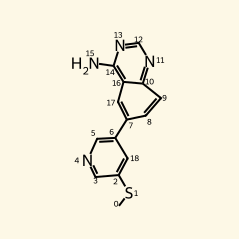 CSc1cncc(-c2ccc3ncnc(N)c3c2)c1